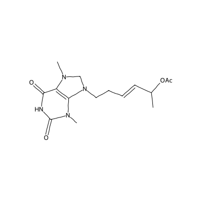 CC(=O)OC(C)C=CCCN1CN(C)c2c1n(C)c(=O)[nH]c2=O